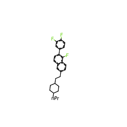 CCCC1CCC(CCc2ccc3c(F)c(-c4ccc(F)c(F)c4)ccc3c2)CC1